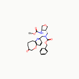 CC(C)(C)OC(=O)N[C@H]1COC[C@@H]1CN(Cc1ccc2c(n1)CCCC(=O)CO2)C(=O)OCc1ccccc1